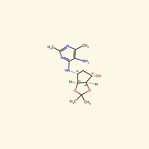 Cc1nc(C)c(N)c(N[C@@H]2C[C@H](O)[C@H]3OC(C)(C)O[C@H]32)n1